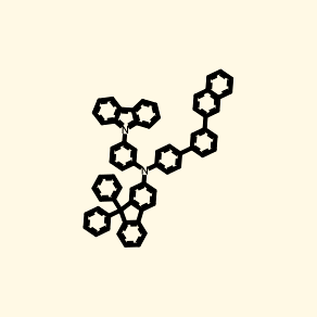 c1ccc(C2(c3ccccc3)c3ccccc3-c3ccc(N(c4ccc(-c5cccc(-c6ccc7ccccc7c6)c5)cc4)c4cccc(-n5c6ccccc6c6ccccc65)c4)cc32)cc1